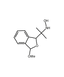 COC1OC(C(C)(C)NO)c2ccccc21